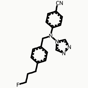 N#Cc1ccc(N(Cc2ccc(CCCF)cc2)n2cnnc2)cc1